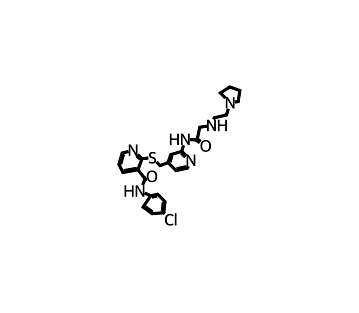 O=C(CNCCN1CCCC1)Nc1cc(CSc2ncccc2C(=O)Nc2ccc(Cl)cc2)ccn1